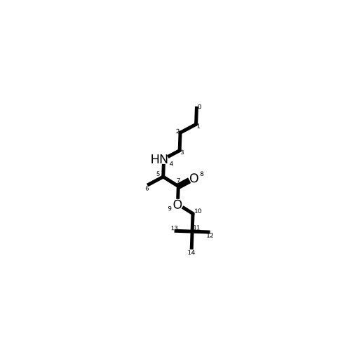 CCCCNC(C)C(=O)OCC(C)(C)C